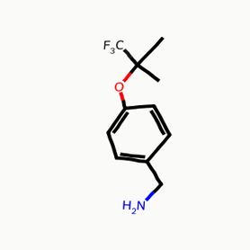 CC(C)(Oc1ccc(CN)cc1)C(F)(F)F